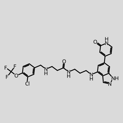 O=C(CCNCc1ccc(OC(F)(F)F)c(Cl)c1)NCCCNc1cc(-c2cc[nH]c(=O)c2)cc2[nH]ncc12